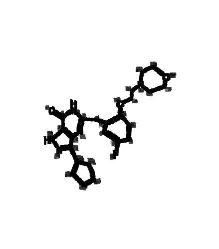 O=c1[nH]c(Cc2cc(F)ccc2OCCN2CCOCC2)nc2c(C3CCCC3)n[nH]c12